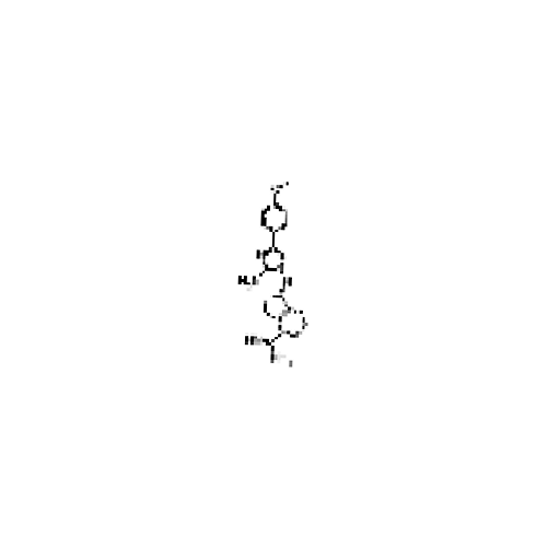 COc1ccc(-c2cn(N=C3CCc4c(C(=N)N)cccc43)c(N)n2)cc1